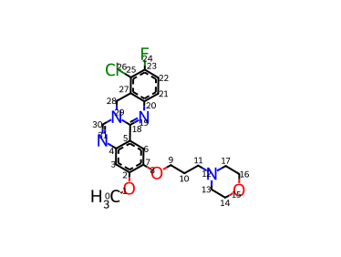 COc1cc2c(cc1OCCCN1CCOCC1)C1=Nc3ccc(F)c(Cl)c3CN1C=N2